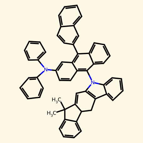 CC1(C)C2=Cc3c(c4ccccc4n3-c3c4ccccc4c(-c4ccc5ccccc5c4)c4cc(N(c5ccccc5)c5ccccc5)ccc34)CC2c2ccccc21